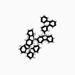 c1ccc(-c2ccccc2-c2cccc(-n3c4ccccc4c4ccc(-n5c6ccccc6c6ccc([Si](c7ccccc7)(c7ccccc7)c7ccccc7)cc65)cc43)c2)cc1